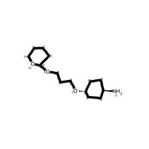 N[C@H]1CC[C@H](OCCCOC2CCCCO2)CC1